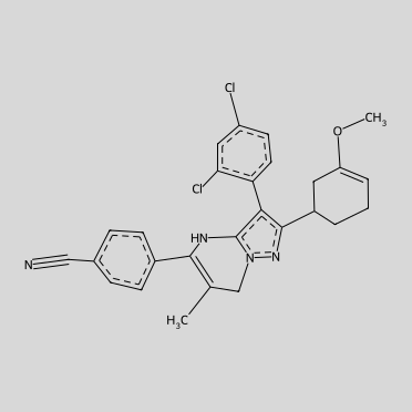 COC1=CCCC(c2nn3c(c2-c2ccc(Cl)cc2Cl)NC(c2ccc(C#N)cc2)=C(C)C3)C1